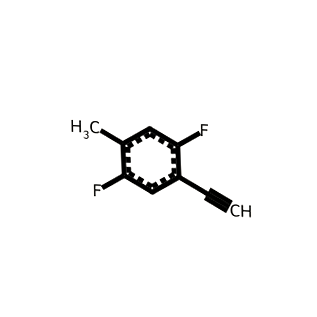 C#Cc1cc(F)c(C)cc1F